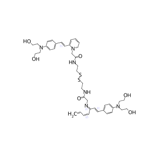 C=C\C=C/C(/C=C/c1ccc(N(CCO)CCO)cc1)=N/CC(=O)NCCSSCCNC(=O)C[n+]1ccccc1/C=C/c1ccc(N(CCO)CCO)cc1